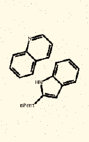 CCCCCc1cc2ccccc2[nH]1.c1ccc2ncccc2c1